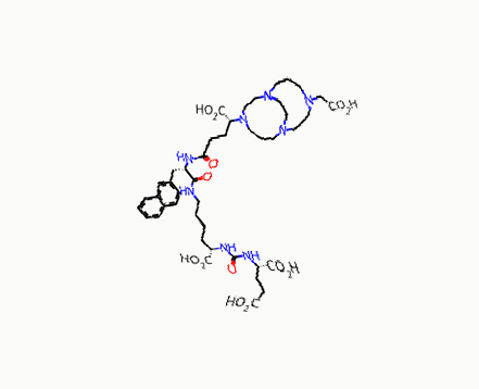 O=C(O)CC[C@H](NC(=O)N[C@@H](CCCCNC(=O)[C@H](Cc1ccc2ccccc2c1)NC(=O)CC[C@H](C(=O)O)N1CCCN2CCN(CCCN(CC(=O)O)CC2)CC1)C(=O)O)C(=O)O